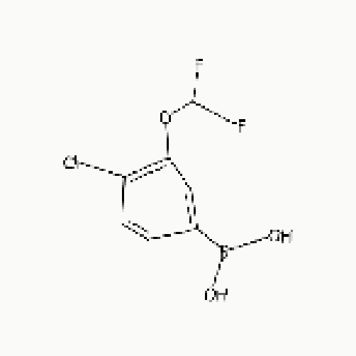 OB(O)c1ccc(Cl)c(OC(F)F)c1